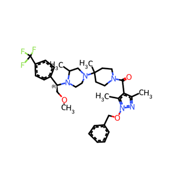 COC[C@@H](c1ccc(C(F)(F)F)cc1)N1CCN(C2(C)CCN(C(=O)c3c(C)nn(OCc4ccccc4)c3C)CC2)CC1C